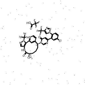 O=C(O)C(F)(F)F.[2H]C([2H])([2H])n1ncc2c1-c1cc(ccn1)[C@@H](n1cnc(-c3cc(Cl)ccc3-n3cc(C(F)(F)F)nn3)cc1=O)CCC[C@@H](C)C(=O)N2